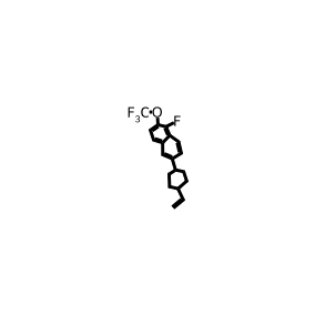 C=CC1CCC(c2ccc3c(F)c(OC(F)(F)F)ccc3c2)CC1